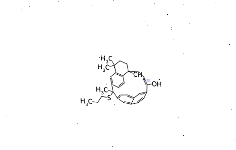 CCCSC1(C)c2ccc3c(c2)C(C)(C)CCC3(C)C/C=C(/O)c2ccc3cc1ccc3c2